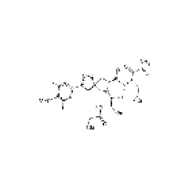 COc1c(C)cc(C2=NO[C@]3(C2)C[C@@H](C(=O)N[C@@H](CC2CC2)C(=O)C(N)=O)N(C(=O)[C@@H](NC(=O)CC(C)(C)C)C(C)(C)C)C3)cc1C